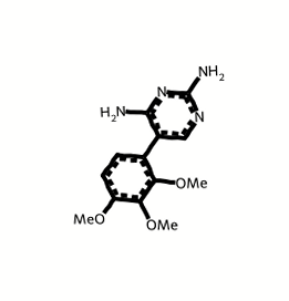 COc1ccc(-c2cnc(N)nc2N)c(OC)c1OC